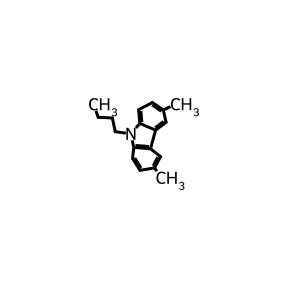 CCCCn1c2ccc(C)cc2c2cc(C)ccc21